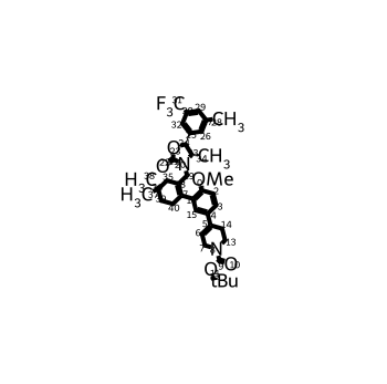 COc1ccc(C2=CCN(C(=O)OC(C)(C)C)CC2)cc1C1=C(CN2C(=O)O[C@H](c3cc(C)cc(C(F)(F)F)c3)[C@@H]2C)CC(C)(C)CC1